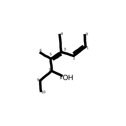 C/C=C\C(C)=C(\C)C(O)CC